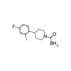 BC(=O)N1CCC(c2ccc(F)cc2C)CC1